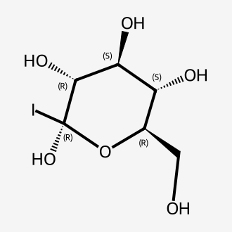 OC[C@H]1O[C@@](O)(I)[C@H](O)[C@@H](O)[C@@H]1O